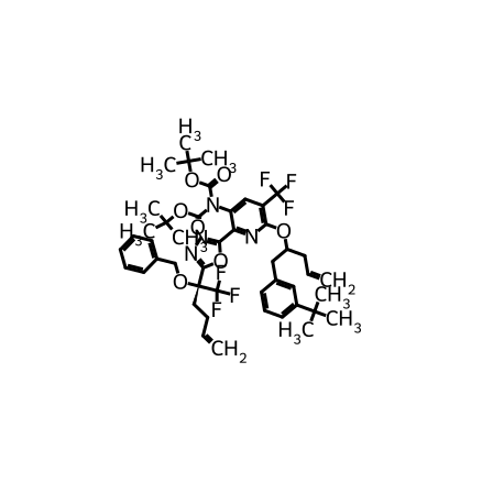 C=CCC[C@@](OCc1ccccc1)(c1nnc(-c2nc(OC(CC=C)Cc3cccc(C(C)(C)C)c3)c(C(F)(F)F)cc2N(C(=O)OC(C)(C)C)C(=O)OC(C)(C)C)o1)C(F)(F)F